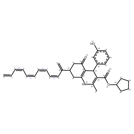 C=C\C=C/C=C\C=C/C=C\C(=C)C1CC(=O)C2=C(C1)NC(C)=C(C(=O)OC1CCCC1)C2c1cccc(O)c1